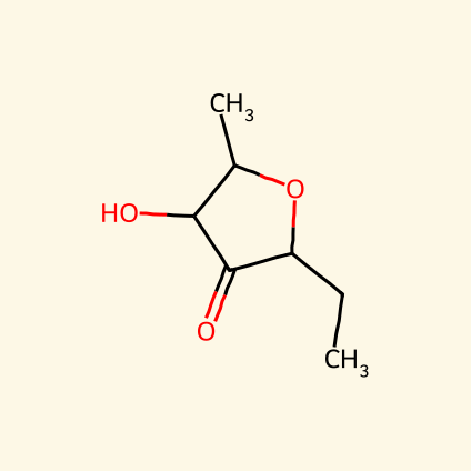 CCC1OC(C)C(O)C1=O